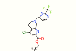 CCOC(=O)c1cc(Cl)c2c(n1)CN(Cc1ccnc(C(F)(F)F)n1)CC2